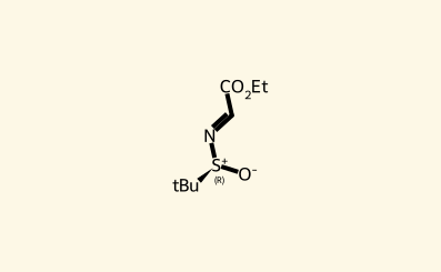 CCOC(=O)C=N[S@@+]([O-])C(C)(C)C